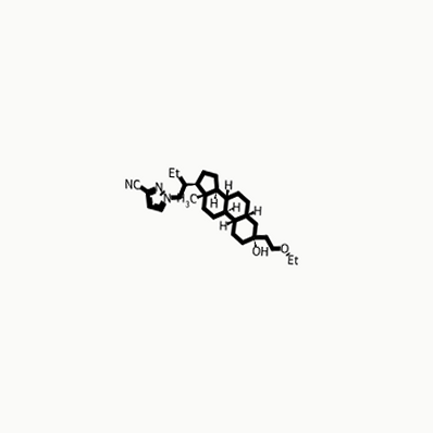 CCOCC[C@@]1(O)CC[C@H]2[C@H](CC[C@@H]3[C@@H]2CC[C@]2(C)[C@@H](C(CC)Cn4ccc(C#N)n4)CC[C@@H]32)C1